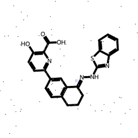 O=C(O)c1nc(-c2ccc3c(c2)/C(=N/Nc2nc4ccccc4s2)CCC3)ccc1O